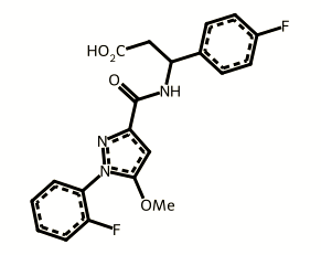 COc1cc(C(=O)NC(CC(=O)O)c2ccc(F)cc2)nn1-c1ccccc1F